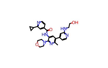 Cc1nc(N2CCOCC2)c(NC(=O)c2ccnc(C3CC3)c2)cc1-c1ccnc(NCCO)c1